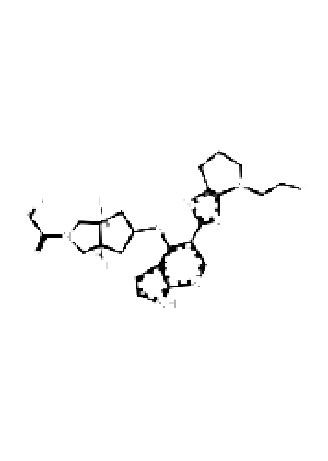 C[C@H](O)C(=O)N1C[C@H]2CC(Nc3c(-c4nc5c(s4)N(CCO)CCC5)cnc4[nH]ccc34)C[C@H]2C1